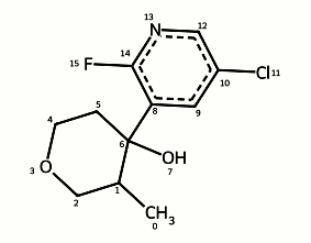 CC1COCCC1(O)c1cc(Cl)cnc1F